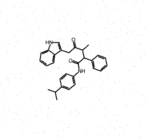 CC(C)c1ccc(NC(=O)C(c2ccccc2)C(C)C(=O)Cc2c[nH]c3ccccc23)cc1